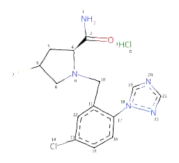 Cl.NC(=O)[C@@H]1CC(F)CN1Cc1cc(Cl)ccc1-n1cncn1